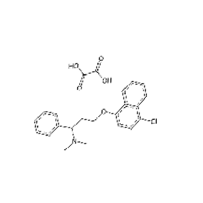 CN(C)C(CCOc1ccc(Cl)c2ccccc12)c1ccccc1.O=C(O)C(=O)O